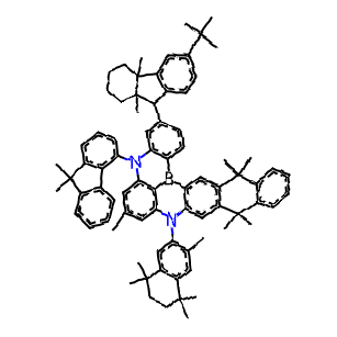 Cc1cc2c3c(c1)N(c1cccc4c1-c1ccccc1C4(C)C)c1cc(C4c5ccc(C(C)(C)C)cc5C5(C)CCCCC45C)ccc1B3c1cc3c(cc1N2c1cc2c(cc1C)C(C)(C)CCC2(C)C)C(C)(C)c1ccccc1C3(C)C